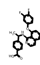 CC(Nc1nccc2cccc(Oc3ccc(F)c(F)c3)c12)c1ccc(C(=O)O)cc1